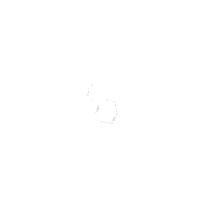 BrCC1=CCC=CCC1